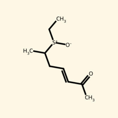 CC[S+]([O-])C(C)C/C=C/C(C)=O